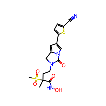 CC(CCN1Cc2cc(-c3ccc(C#N)s3)cn2C1=O)(C(=O)NO)S(C)(=O)=O